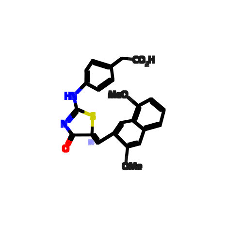 COc1cc2cccc(OC)c2cc1/C=C1\SC(Nc2ccc(CC(=O)O)cc2)=NC1=O